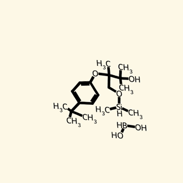 C[SiH](C)OCC(C)(Oc1ccc(C(C)(C)C)cc1)C(C)(C)O.OBO